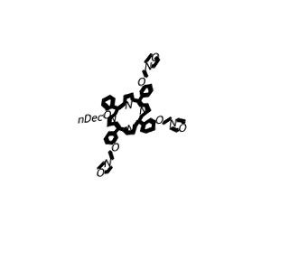 CCCCCCCCCCOc1ccccc1C1=C2C=CC(=N2)C(c2cccc(OCCN3CCOCC3)c2)=C2C=CC(=N2)C(c2cccc(OCCN3CCOCC3)c2)=C2C=CC(=N2)C(c2cccc(OCCN3CCOCC3)c2)=C2C=CC1=N2